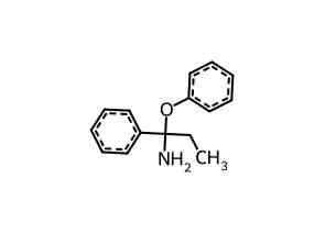 CCC(N)(Oc1ccccc1)c1ccccc1